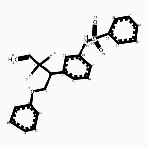 C=CC(F)(F)C(COc1c[c]ccc1)c1cccc(NS(=O)(=O)c2ccccc2)c1